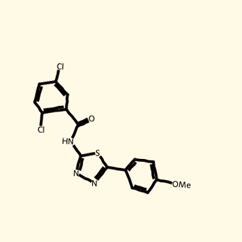 COc1ccc(-c2nnc(NC(=O)c3cc(Cl)ccc3Cl)s2)cc1